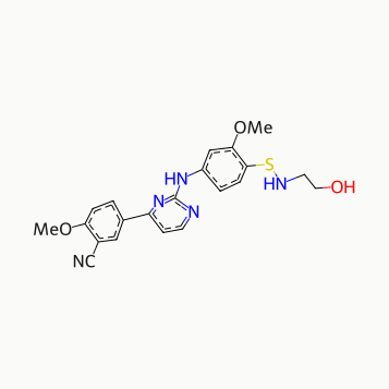 COc1ccc(-c2ccnc(Nc3ccc(SNCCO)c(OC)c3)n2)cc1C#N